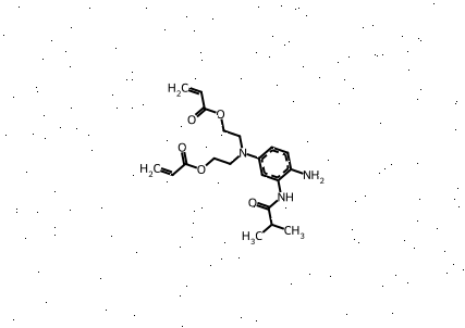 C=CC(=O)OCCN(CCOC(=O)C=C)c1ccc(N)c(NC(=O)C(C)C)c1